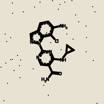 NC(=O)c1cnc(-n2ncc3ccc(N)c(Cl)c32)nc1NC1CC1